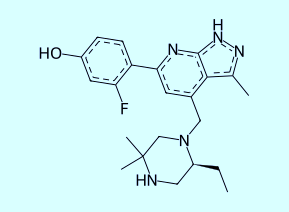 CC[C@H]1CNC(C)(C)CN1Cc1cc(-c2ccc(O)cc2F)nc2[nH]nc(C)c12